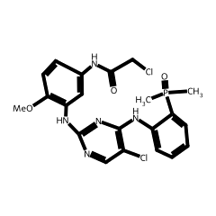 COc1ccc(NC(=O)CCl)cc1Nc1ncc(Cl)c(Nc2ccccc2P(C)(C)=O)n1